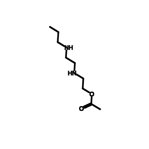 CCCNCCNCCOC(C)=O